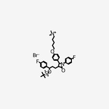 CC(C)(C)[Si](C)(C)OC(CCC1C(=O)N(c2ccc(F)cc2)C1c1ccc(OCCCCC[N+](C)(C)C)cc1)c1ccc(F)cc1.[Br-]